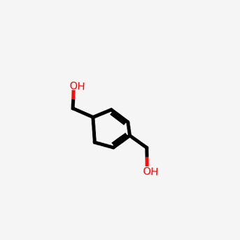 OCC1=CCC(CO)C=C1